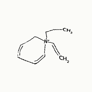 C=C[N+]1(CC)C=CC=CC1